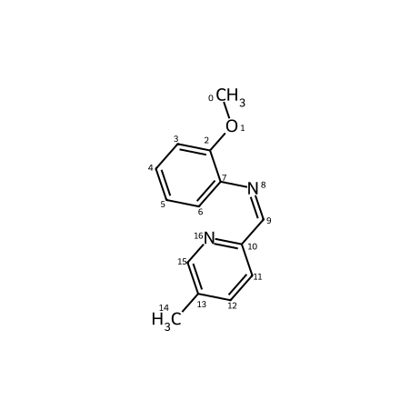 COc1ccccc1/N=C\c1ccc(C)cn1